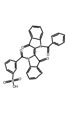 O=C1/C(=C2/C(=O)c3ccccc3N2C(=O)c2cccc(S(=O)(=O)O)c2)N(C(=O)c2ccccc2)c2ccccc21